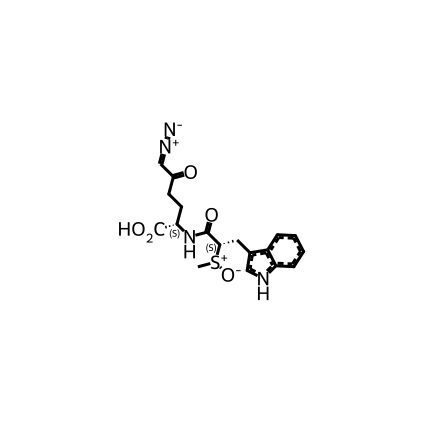 C[S+]([O-])[C@@H](Cc1c[nH]c2ccccc12)C(=O)N[C@@H](CCC(=O)C=[N+]=[N-])C(=O)O